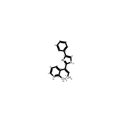 C/C=C(/c1nc(-c2ccccc2)cs1)c1cccnc1C